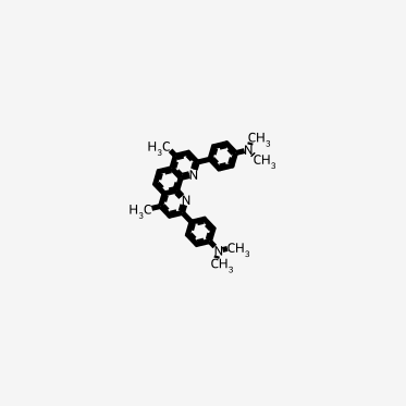 Cc1cc(-c2ccc(N(C)C)cc2)nc2c1ccc1c(C)cc(-c3ccc(N(C)C)cc3)nc12